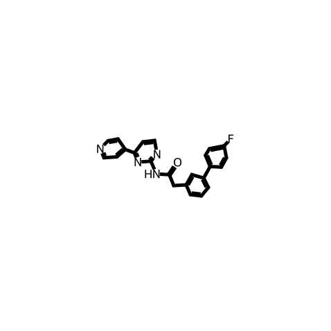 O=C(Cc1cccc(-c2ccc(F)cc2)c1)Nc1nccc(-c2ccncc2)n1